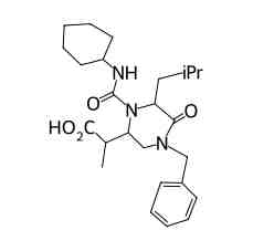 CC(C)CC1C(=O)N(Cc2ccccc2)CC(C(C)C(=O)O)N1C(=O)NC1CCCCC1